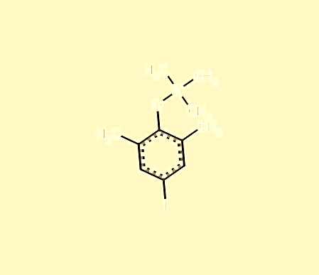 Cc1cc(I)cc(C)c1O[Si](C)(C)C